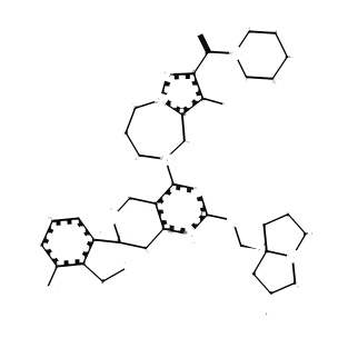 O=C(c1nn2c(c1Cl)CN(c1nc(OC[C@@]34CCCN3C[C@H](F)C4)nc3c1CO[C@@]1(CCc4c(Cl)cccc41)C3)CCC2)N1CCCCC1